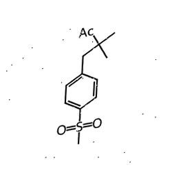 CC(=O)C(C)(C)Cc1ccc(S(C)(=O)=O)cc1